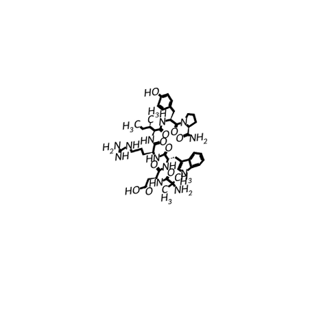 CC[C@H](C)[C@H](NC(=O)[C@H](CCCNC(=N)N)NC(=O)[C@H](Cc1c[nH]c2ccccc12)NC(=O)[C@H](CC(=O)O)NC(=O)C(C)(C)N)C(=O)N[C@@H](Cc1ccc(O)cc1)C(=O)N1CCC[C@H]1C(N)=O